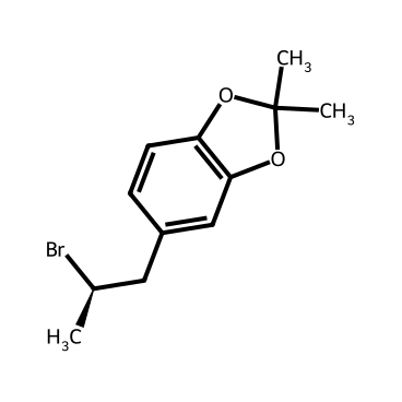 C[C@@H](Br)Cc1ccc2c(c1)OC(C)(C)O2